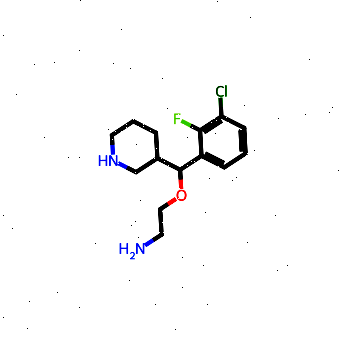 NCCOC(c1cccc(Cl)c1F)C1CCCNC1